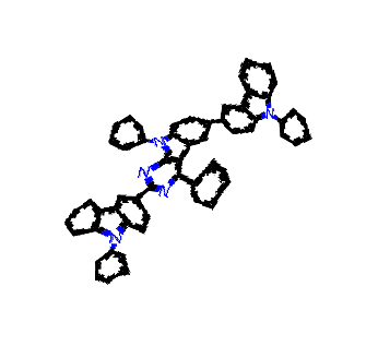 c1ccc(-c2nc(-c3ccc4c(c3)c3ccccc3n4-c3ccccc3)nc3c2c2cc(-c4ccc5c(c4)c4ccccc4n5-c4ccccc4)ccc2n3-c2ccccc2)cc1